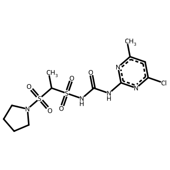 Cc1cc(Cl)nc(NC(=O)NS(=O)(=O)C(C)S(=O)(=O)N2CCCC2)n1